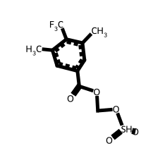 Cc1cc(C(=O)OCO[SH](=O)=O)cc(C)c1C(F)(F)F